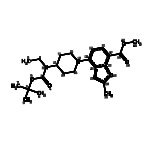 CCN(C(=O)OC(C)(C)C)C1CCN(c2ccc(C(=O)OC)c3oc(C)cc23)CC1